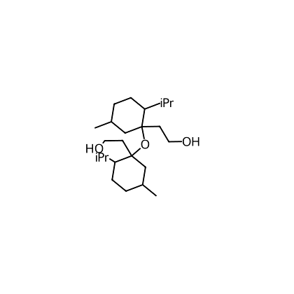 CC1CCC(C(C)C)C(CCO)(OC2(CCO)CC(C)CCC2C(C)C)C1